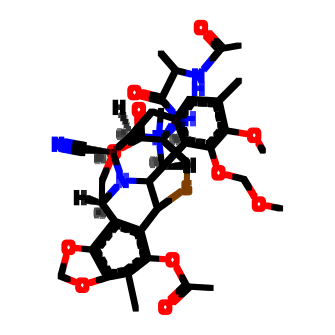 COCOc1c(OC)c(C)cc2c1[C@@H]1C3C4SC[C@H](NC(=O)C(C)NC(C)=O)C(=O)OC[C@@H](c5c6c(c(C)c(OC(C)=O)c54)OCO6)N3[C@@H](C#N)[C@@H](C2)N1C